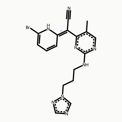 Cc1cnc(NCCCn2cncn2)nc1/C(C#N)=C1\C=CC=C(Br)N1